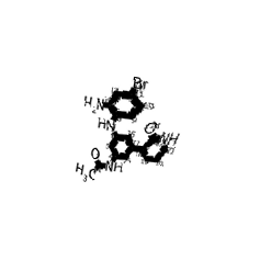 CC(=O)Nc1cc(Nc2ccc(Br)cc2N)cc(-c2ccc[nH]c2=O)c1